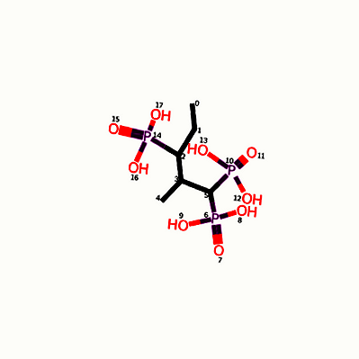 CCC(C(C)C(P(=O)(O)O)P(=O)(O)O)P(=O)(O)O